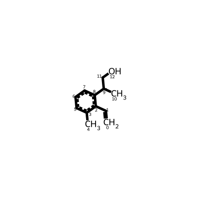 C=Cc1c(C)cccc1[C](C)CO